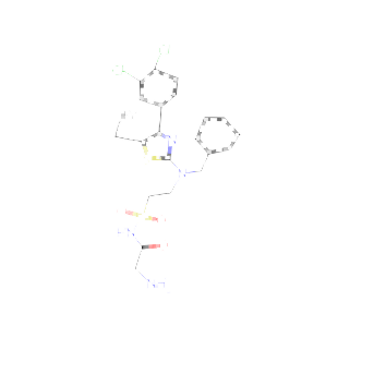 CC(C)Cc1sc(N(CCS(=O)(=O)NC(=O)CN)Cc2ccccc2)nc1-c1ccc(Cl)c(Cl)c1